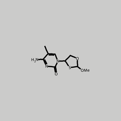 COC1OCC(n2cc(C)c(N)nc2=O)S1